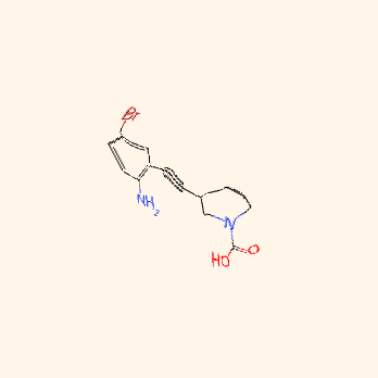 Nc1ccc(Br)cc1C#CC1CCN(C(=O)O)C1